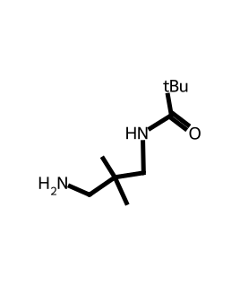 CC(C)(CN)CNC(=O)C(C)(C)C